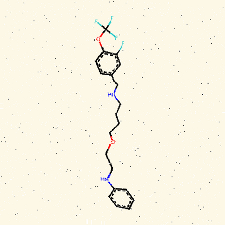 Fc1cc(CNCCCCOCCNc2ccccc2)ccc1OC(F)(F)F